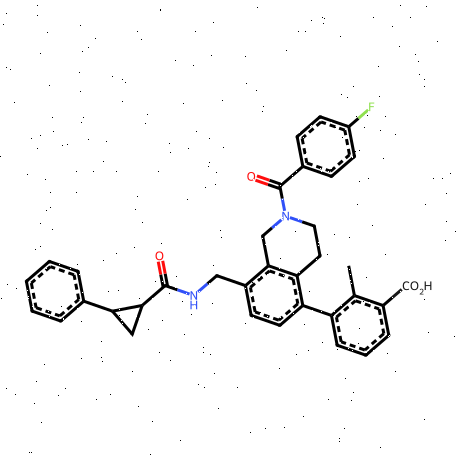 Cc1c(C(=O)O)cccc1-c1ccc(CNC(=O)C2CC2c2ccccc2)c2c1CCN(C(=O)c1ccc(F)cc1)C2